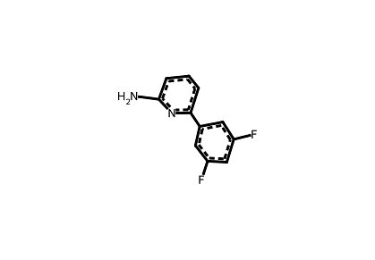 Nc1cccc(-c2cc(F)cc(F)c2)n1